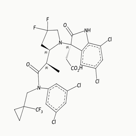 C[C@@H](C(=O)N(CC1(C(F)(F)F)CC1)c1cc(Cl)cc(Cl)c1)[C@H]1CC(F)(F)CN1[C@@]1(CC(=O)O)C(=O)Nc2c(Cl)cc(Cl)cc21